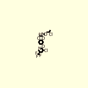 C=C(Cl)CONC(=O)[C@@H](C)Oc1ccc(Oc2ncc(C(F)(F)F)cc2Cl)cc1